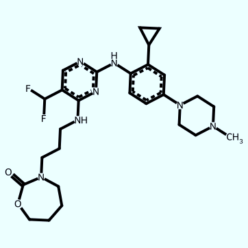 CN1CCN(c2ccc(Nc3ncc(C(F)F)c(NCCCN4CCCCOC4=O)n3)c(C3CC3)c2)CC1